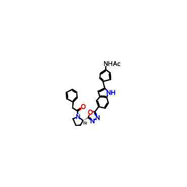 CC(=O)Nc1ccc(-c2cc3cc(-c4nnc([C@@H]5CCCN5C(=O)Cc5ccccc5)o4)ccc3[nH]2)cc1